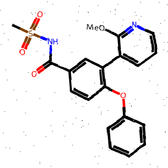 COc1ncccc1-c1cc(C(=O)NS(C)(=O)=O)ccc1Oc1ccccc1